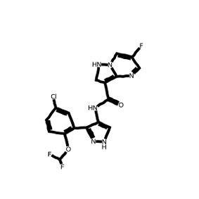 O=C(Nc1c[nH]nc1-c1cc(Cl)ccc1OC(F)F)C1=C2N=CC(F)=CN2NC1